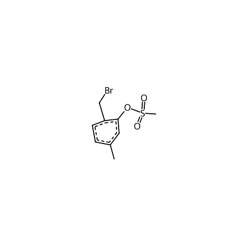 Cc1ccc(CBr)c(OS(C)(=O)=O)c1